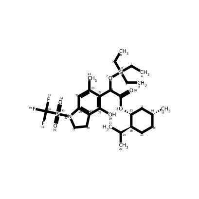 CC[Si](CC)(CC)OC(C(=O)O[C@@H]1C[C@H](C)CC[C@H]1C(C)C)c1c(C)cc2c(c1O)CCN2S(=O)(=O)C(F)(F)F